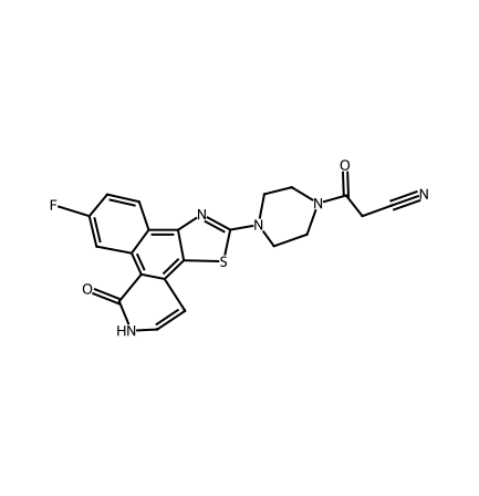 N#CCC(=O)N1CCN(c2nc3c4ccc(F)cc4c4c(=O)[nH]ccc4c3s2)CC1